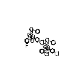 O=C(CN(c1ccc(Cl)cc1)S(=O)(=O)c1cccc(F)c1)N1CCCC1c1ccccc1.O=C(CN(c1ccc(Cl)cc1)S(=O)(=O)c1ccccc1Cl)N1CCCC1c1ccccc1